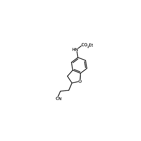 CCOC(=O)Nc1ccc2c(c1)CC(CCC#N)O2